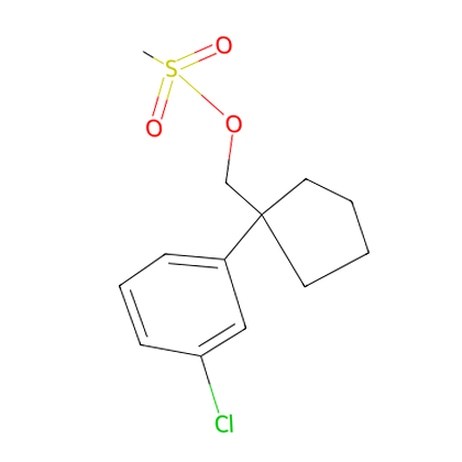 CS(=O)(=O)OCC1(c2cccc(Cl)c2)CCCC1